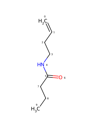 C=CCCNC(=O)CCC